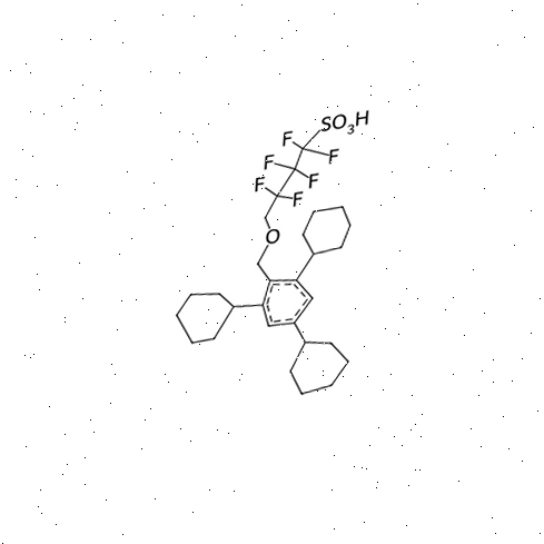 O=S(=O)(O)C(F)(F)C(F)(F)C(F)(F)COCc1c(C2CCCCC2)cc(C2CCCCC2)cc1C1CCCCC1